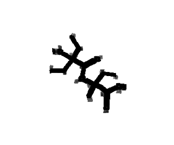 CCC(O)(CC)C(=O)OC(C)(CC)C(=O)O